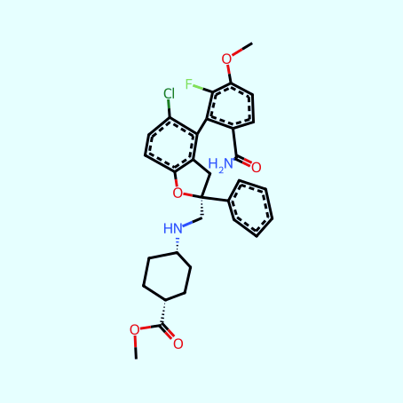 COc1ccc(C(N)=O)c(-c2c(Cl)ccc3c2C[C@@](CN[C@H]2CC[C@@H](C(=O)OC)CC2)(c2ccccc2)O3)c1F